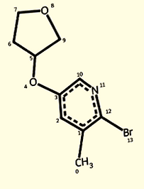 Cc1cc(OC2CCOC2)cnc1Br